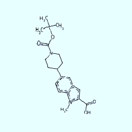 Cn1c(C(=O)O)cc2cc(C3CCN(C(=O)OC(C)(C)C)CC3)ccc21